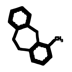 Cc1cccc2c1Cc1ccccc1CC2